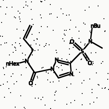 C=CCN(CCCCCC)C(=O)n1cnc(S(=O)(=O)N(C)CCCC)n1